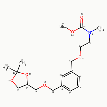 CN(CCOCc1cccc(COCC2COC(C)(C)O2)c1)C(=O)OC(C)(C)C